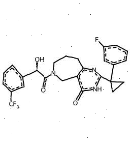 O=C([C@H](O)c1cccc(C(F)(F)F)c1)N1CCCc2nc(C3(c4cccc(F)c4)CC3)[nH]c(=O)c2C1